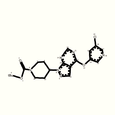 CC(C)(C)OC(=O)N1CCC(n2ncc3c(Oc4cncc(Cl)c4)ncnc32)CC1